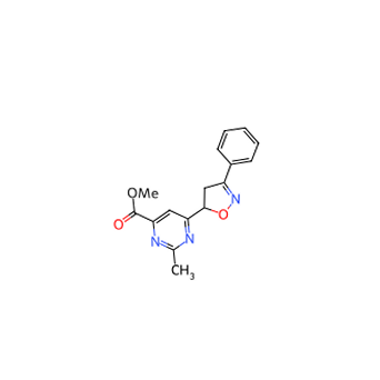 COC(=O)c1cc(C2CC(c3ccccc3)=NO2)nc(C)n1